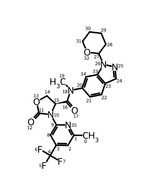 Cc1cc(C(F)(F)F)cc(N2C(=O)OC[C@H]2C(=O)N(C)c2ccc3cnn(C4CCCCO4)c3c2)n1